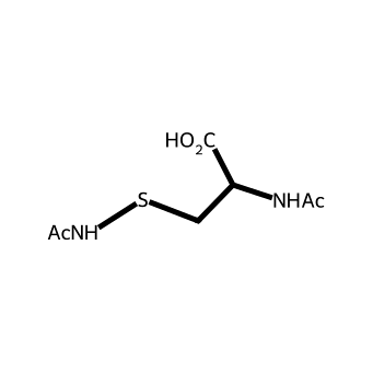 CC(=O)NSCC(NC(C)=O)C(=O)O